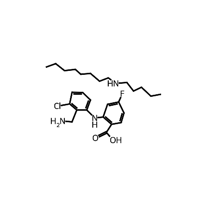 CCCCCCCCNCCCCC.NCc1c(Cl)cccc1Nc1cc(F)ccc1C(=O)O